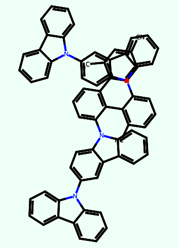 N#Cc1ccc(-c2cccc(-n3c4ccccc4c4cc(-n5c6ccccc6c6ccccc65)ccc43)c2-c2c(C#N)cccc2-n2c3ccccc3c3cc(-n4c5ccccc5c5ccccc54)ccc32)c(C(F)(F)F)c1